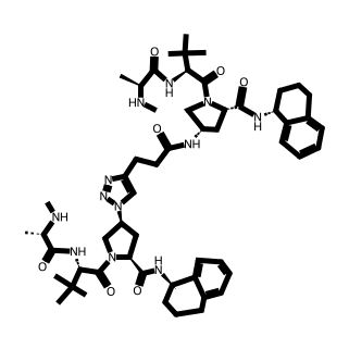 CN[C@@H](C)C(=O)N[C@H](C(=O)N1C[C@@H](NC(=O)CCc2cn([C@H]3C[C@@H](C(=O)N[C@@H]4CCCc5ccccc54)N(C(=O)[C@@H](NC(=O)[C@H](C)NC)C(C)(C)C)C3)nn2)C[C@H]1C(=O)N[C@@H]1CCCc2ccccc21)C(C)(C)C